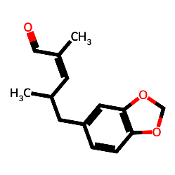 CC(C=O)=CC(C)Cc1ccc2c(c1)OCO2